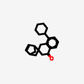 O=C1CC2(Cc3c1cccc3C1CCCCC1)CC1C=CC2C1